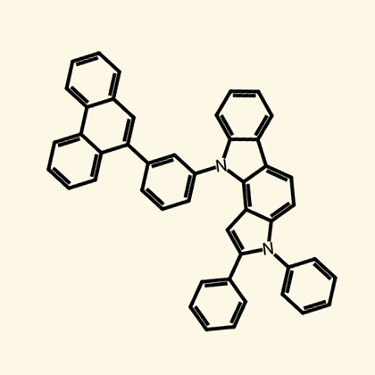 c1ccc(-c2cc3c(ccc4c5ccccc5n(-c5cccc(-c6cc7ccccc7c7ccccc67)c5)c43)n2-c2ccccc2)cc1